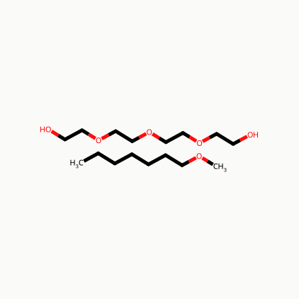 CCCCCCCOC.OCCOCCOCCOCCO